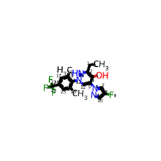 CCC1=C(O)C(n2cc(F)cn2)=CN(c2c(C)cc(C(F)(F)F)cc2C)N1